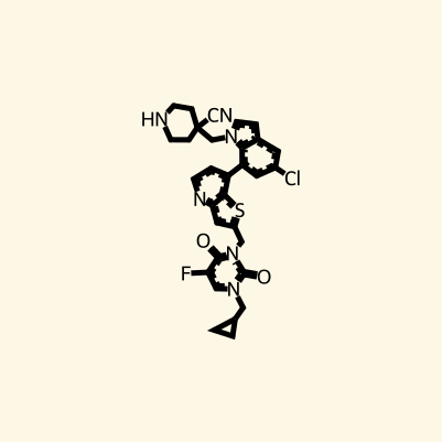 N#CC1(Cn2ccc3cc(Cl)cc(-c4ccnc5cc(Cn6c(=O)c(F)cn(CC7CC7)c6=O)sc45)c32)CCNCC1